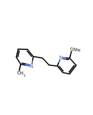 COc1cccc(CCc2cccc(C)n2)n1